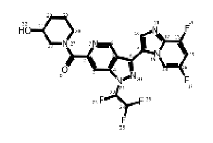 O=C(c1cc2c(cn1)c(-c1cnc3c(F)cc(F)cn13)nn2C(F)C(F)F)N1CCCC(O)C1